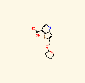 OB(O)c1ccnc2cc(COC3CCCCO3)sc12